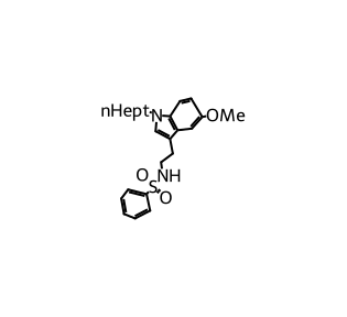 CCCCCCCn1cc(CCNS(=O)(=O)c2ccccc2)c2cc(OC)ccc21